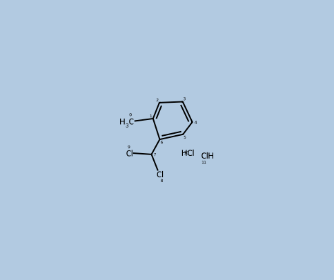 Cc1ccccc1C(Cl)Cl.Cl.Cl